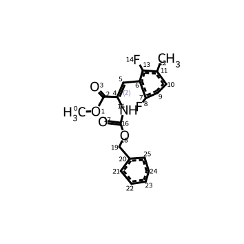 COC(=O)/C(=C/c1c(F)ccc(C)c1F)NC(=O)OCc1ccccc1